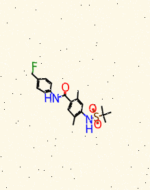 Cc1cc(C(=O)Nc2ccc(CF)cc2)c(C)cc1NS(=O)(=O)C(C)(C)C